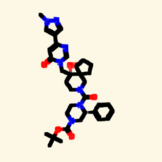 Cn1cc(-c2cc(=O)n(C[C@]3(O)CCN(C(=O)N4CCN(C(=O)OC(C)(C)C)C[C@H]4c4ccccc4)CC34CCCC4)cn2)cn1